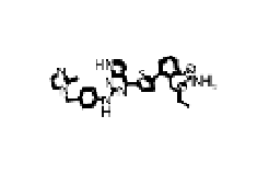 CCCCc1c(-c2ccc(-c3nc(Nc4ccc(Cn5ccnc5C)cc4)nc4[nH]ccc34)s2)cccc1S(N)(=O)=O